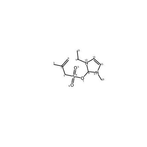 C=C(C)CS(=O)(=O)OC1N(C)C=CN1CC